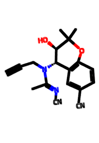 C#CCN(C(C)=NC#N)[C@H]1c2cc(C#N)ccc2OC(C)(C)[C@@H]1O